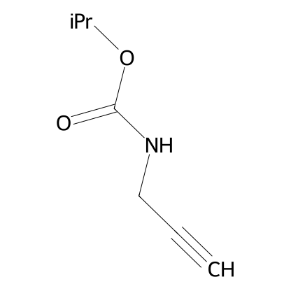 C#CCNC(=O)OC(C)C